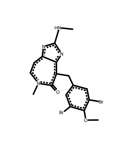 CNc1nc2ccn(C)c(=O)c(Cc3cc(Br)c(OC)c(Br)c3)c-2n1